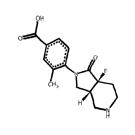 Cc1cc(C(=O)O)ccc1N1C[C@H]2CNCC[C@@]2(F)C1=O